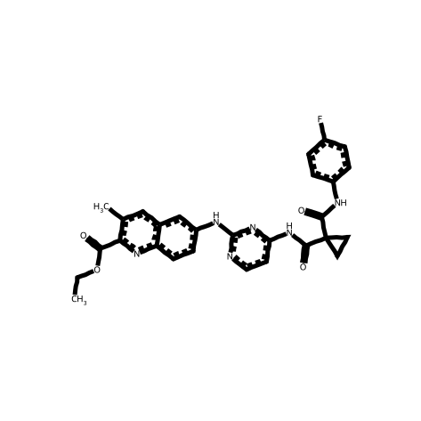 CCOC(=O)c1nc2ccc(Nc3nccc(NC(=O)C4(C(=O)Nc5ccc(F)cc5)CC4)n3)cc2cc1C